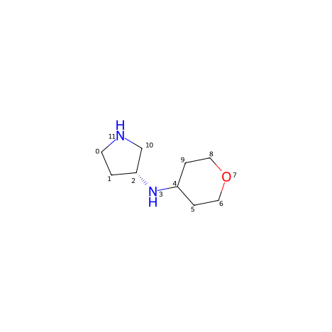 C1C[C@@H](NC2CCOCC2)CN1